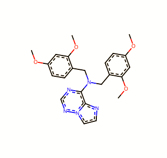 COc1ccc(CN(Cc2ccc(OC)cc2OC)c2ncnn3ccnc23)c(OC)c1